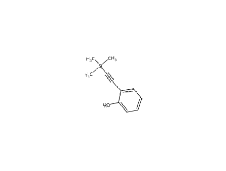 C[Si](C)(C)C#Cc1ccccc1O